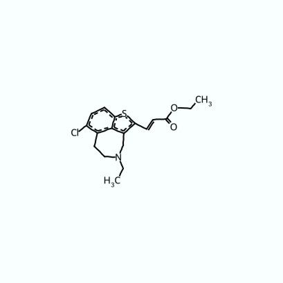 CCOC(=O)/C=C/c1sc2ccc(Cl)c3c2c1CN(CC)CC3